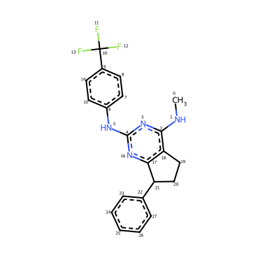 CNc1nc(Nc2ccc(C(F)(F)F)cc2)nc2c1CCC2c1ccccc1